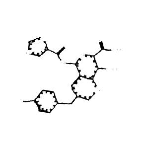 COC(=O)c1nc(NC(=O)c2cncs2)c2cc(Cc3ccc(F)cc3)cnc2c1O